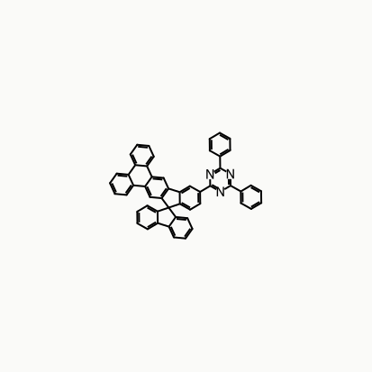 c1ccc(-c2nc(-c3ccccc3)nc(-c3ccc4c(c3)-c3cc5c6ccccc6c6ccccc6c5cc3C43c4ccccc4-c4ccccc43)n2)cc1